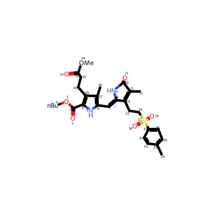 CCCCOC(=O)c1[nH]c(/C=C2\NC(=O)C(C)=C2CCS(=O)(=O)c2ccc(C)cc2)c(C)c1CCC(=O)OC